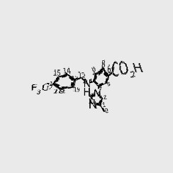 Cc1cn(-c2cc(C(=O)O)ccc2NCc2ccc(C(F)(F)F)cc2)cn1